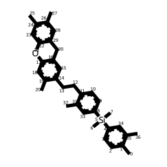 Cc1ccc([Si](C)(C)c2ccc(CCc3cc4c(cc3C)Oc3cc(C)c(C)cc3C4)c(C)c2)cc1C